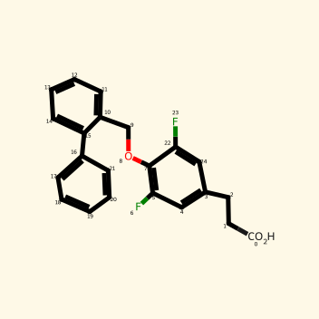 O=C(O)CCc1cc(F)c(OCc2ccccc2-c2ccccc2)c(F)c1